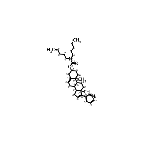 CCCCCN(CCCCC)C(=O)OC1CCC2(C)C(=CCC3C2CCC2(C)C(c4cccnc4)=CCC32)C1